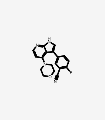 N#Cc1cc(-c2c[nH]c3nccc(N4CCOCC4)c23)ccc1F